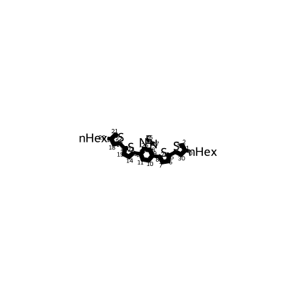 CCCCCCc1csc(-c2ccc(-c3ccc(-c4ccc(-c5cc(CCCCCC)cs5)s4)c4nsnc34)s2)c1